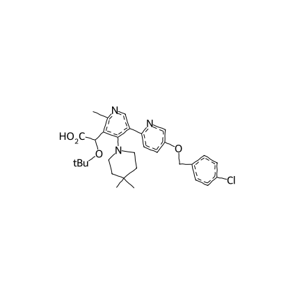 Cc1ncc(-c2ccc(OCc3ccc(Cl)cc3)cn2)c(N2CCC(C)(C)CC2)c1C(OC(C)(C)C)C(=O)O